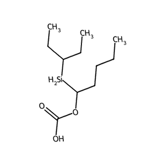 CCCCC(OC(=O)O)[SiH2]C(CC)CC